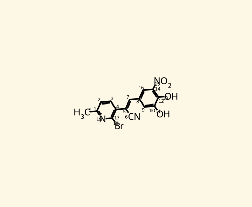 Cc1ccc(C(C#N)=Cc2cc(O)c(O)c([N+](=O)[O-])c2)c(Br)n1